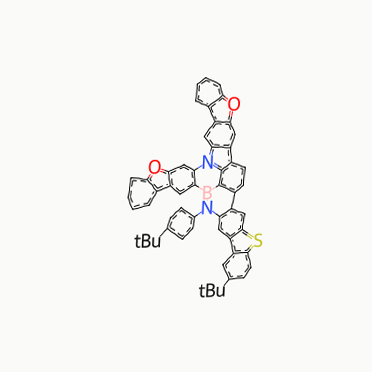 CC(C)(C)c1ccc(N2B3c4cc5c(cc4-n4c6cc7c(cc6c6ccc(c3c64)-c3cc4sc6ccc(C(C)(C)C)cc6c4cc32)oc2ccccc27)oc2ccccc25)cc1